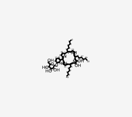 CCCCCCc1c2nc(c(-c3cccc(OC4OC(CO)C(O)C(O)C4O)c3)c3ccc([nH]3)c(CCCCCC)c3nc(c(CCCCCC)c4ccc1[nH]4)[C@H](O)C3O)C=C2